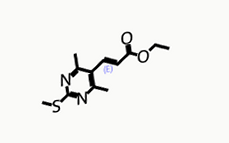 CCOC(=O)/C=C/c1c(C)nc(SC)nc1C